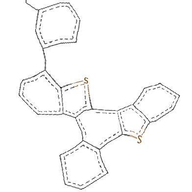 Cc1cccc(-c2cccc3c2sc2c3c3ccccc3c3sc4ccccc4c32)c1